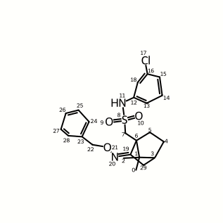 CC1(C)C2CCC1(CS(=O)(=O)Nc1cccc(Cl)c1)C(=NOCc1ccccc1)C2